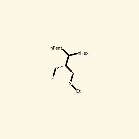 CCCCCCC(CCCCC)[C@@H](CF)SSCC